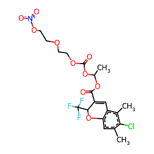 Cc1cc2c(c(C)c1Cl)C=C(C(=O)OC(C)OC(=O)OCCOCCO[N+](=O)[O-])C(C(F)(F)F)O2